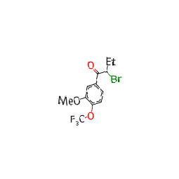 CCC(Br)C(=O)c1ccc(OC(F)(F)F)c(OC)c1